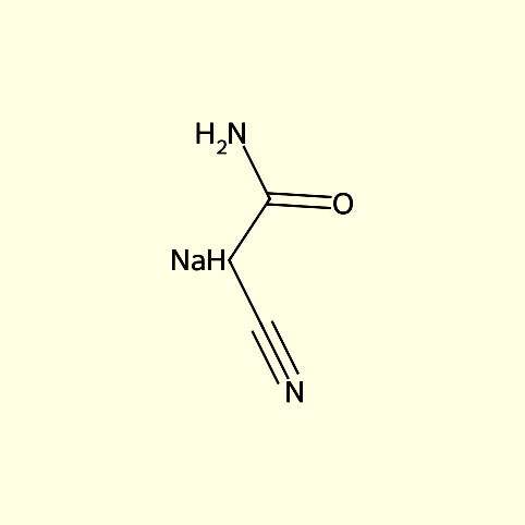 N#CCC(N)=O.[NaH]